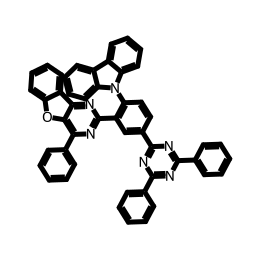 c1ccc(-c2nc(-c3ccccc3)nc(-c3ccc(-n4c5ccccc5c5ccccc54)c(-c4nc(-c5ccccc5)c5oc6ccccc6c5n4)c3)n2)cc1